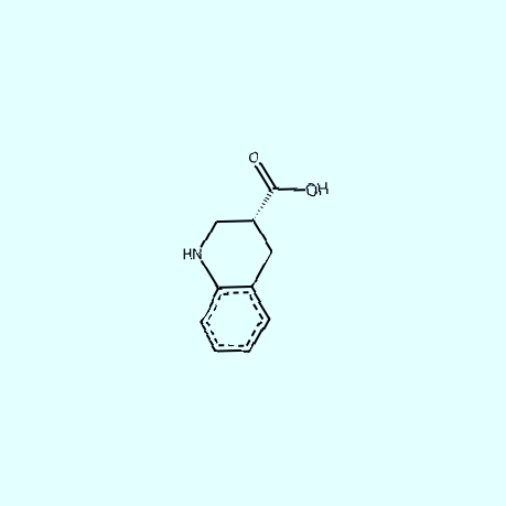 O=C(O)[C@H]1CNc2ccccc2C1